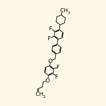 C=CCCOc1ccc(OCc2ccc(-c3ccc(C4CCC(C)CC4)c(F)c3F)cc2)c(F)c1F